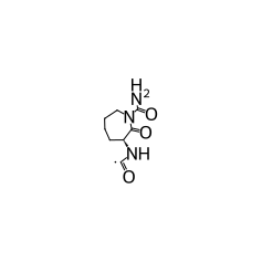 NC(=O)N1CCCC[C@H](N[C]=O)C1=O